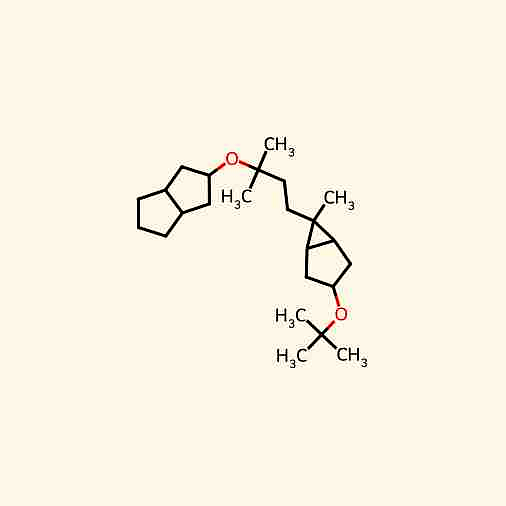 CC(C)(C)OC1CC2C(C1)C2(C)CCC(C)(C)OC1CC2CCCC2C1